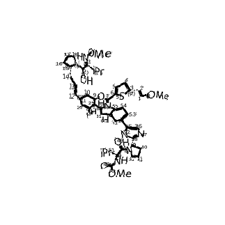 COCC[C@H]1CC=C(C2OC3C[C@H](C=CC[C@@H]4CCCN4C(O)[C@@H](NOC)C(C)C)C=C(F)[C@@H]3[C@@H]3C[C@@H]4CC(c5cnc([C@@H]6CCCN6C(=O)[C@@H](NC(=O)OC)C(C)C)[nH]5)=CC=C4N23)S1